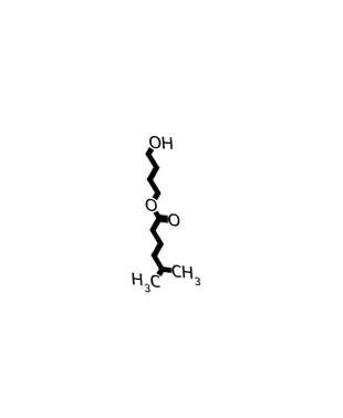 CC(C)CCCC(=O)OCCCCO